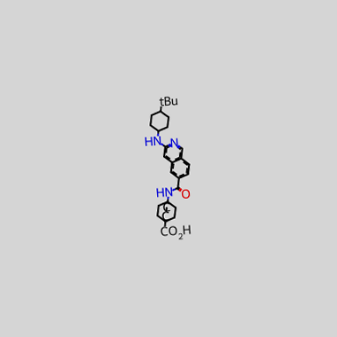 CC(C)(C)C1CCC(Nc2cc3cc(C(=O)NC45CCC(C(=O)O)(CC4)CC5)ccc3cn2)CC1